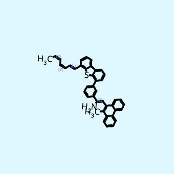 C\C=C/C=C\C=C\c1cccc2c1sc1c(-c3cccc(/C(N)=C/c4c(C)c5ccccc5c5ccccc45)c3)cccc12